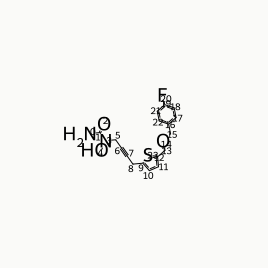 NC(=O)N(O)CC#CCc1ccc(COCc2ccc(F)cc2)s1